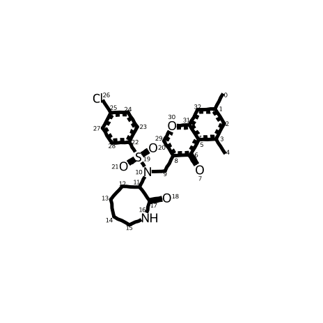 Cc1cc(C)c2c(=O)c(CN(C3CCCCNC3=O)S(=O)(=O)c3ccc(Cl)cc3)coc2c1